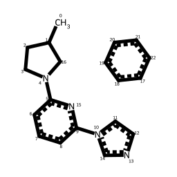 CC1CCN(c2cccc(-n3ccnc3)n2)C1.c1ccccc1